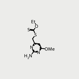 CCOC(=S)SCc1cc(OC)nc(N)n1